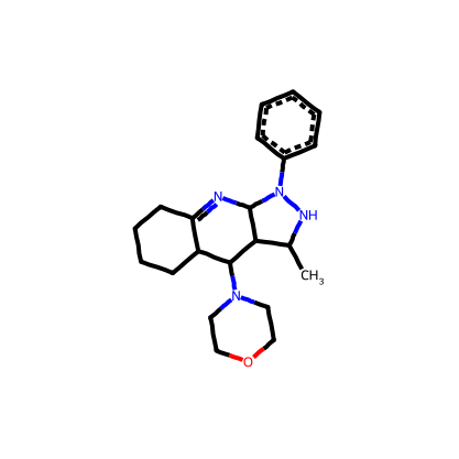 CC1NN(c2ccccc2)C2N=C3CCCCC3C(N3CCOCC3)C12